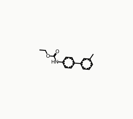 CCOC(=O)Nc1ccc(-c2cccc(C)c2)cc1